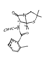 Cc1ccccc1C(=O)N(C=O)[C@@H]1C(=O)N2CC(C)(C)S[C@H]12